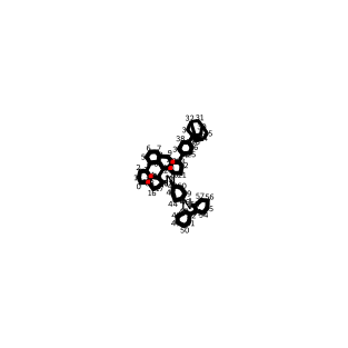 c1ccc(-c2cccc3cccc(-c4ccccc4N(c4ccc(-c5ccc(C67CC8CC(CC(C8)C6)C7)cc5)cc4)c4ccc(-n5c6ccccc6c6ccccc65)cc4)c23)cc1